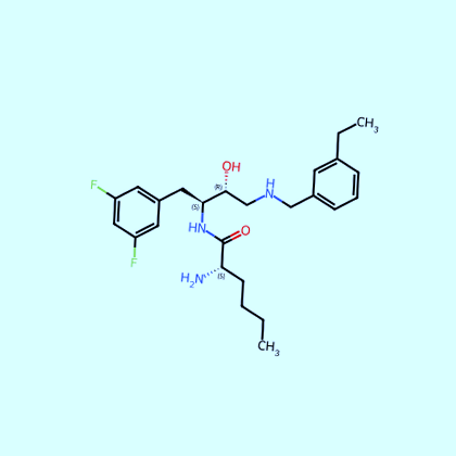 CCCC[C@H](N)C(=O)N[C@@H](Cc1cc(F)cc(F)c1)[C@H](O)CNCc1cccc(CC)c1